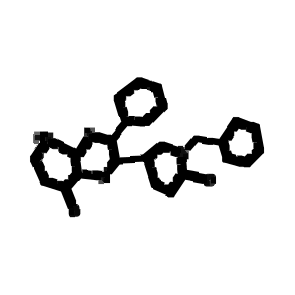 O=c1cc[nH]c2nc(-c3ccccc3)c(-c3ccc(=O)n(Cc4ccccc4)c3)nc12